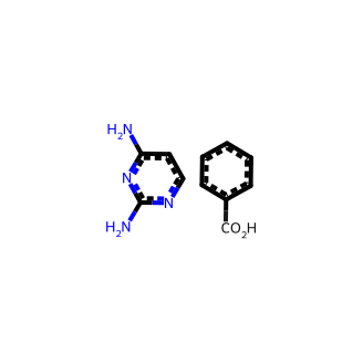 Nc1ccnc(N)n1.O=C(O)c1ccccc1